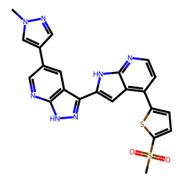 Cn1cc(-c2cnc3[nH]nc(-c4cc5c(-c6ccc(S(C)(=O)=O)s6)ccnc5[nH]4)c3c2)cn1